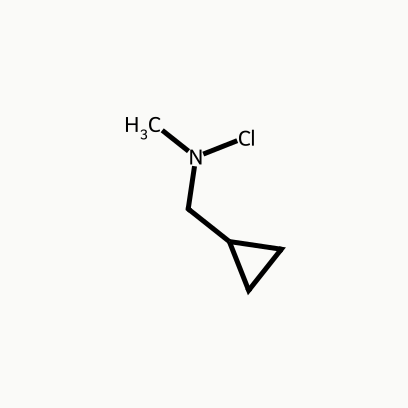 CN(Cl)CC1CC1